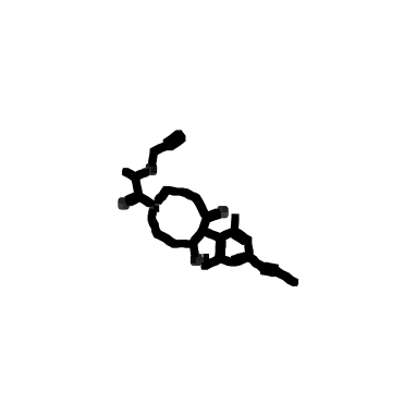 C#CCOC(C)C(=O)N1CCCC(=O)C(c2c(C)cc(C#CC)cc2C)C(O)CCC1